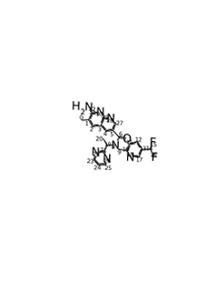 Cc1cc2cc(C(=O)N(Cc3ccc(C(F)F)cn3)C(C)c3ncccn3)cnc2nc1N